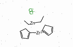 C1=CC[C]([Zr+2][C]2=CC=CC2)=C1.C[CH2][Zn][CH2]C.[Cl-].[Cl-]